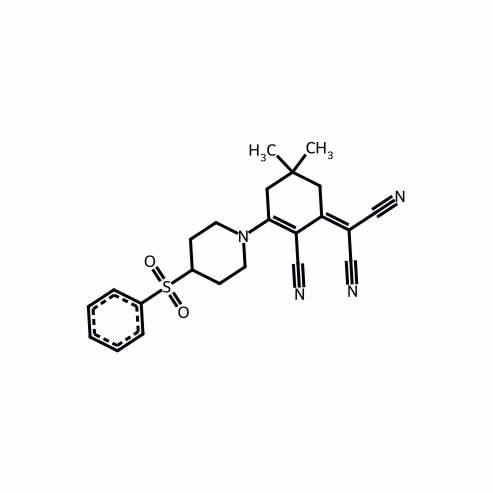 CC1(C)CC(=C(C#N)C#N)C(C#N)=C(N2CCC(S(=O)(=O)c3ccccc3)CC2)C1